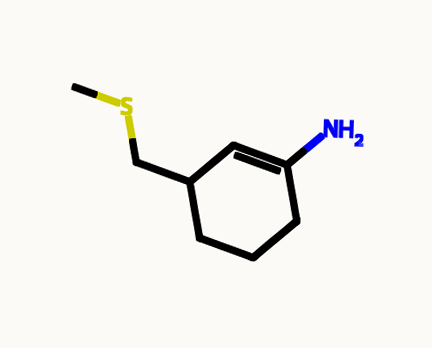 CSCC1C=C(N)CCC1